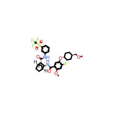 COC[C@H]1CC[C@H](Oc2cc(C(=O)N[C@@H]3[C@H]4CC[C@H](C4)[C@@H]3C(=O)Nc3cccc(S(=O)(=O)C(F)(F)F)c3)c(OC)cc2F)CC1